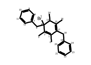 CC1=C(C)C(Br)(Cc2ccccc2)C(C)C(C)=C1Cc1ccccc1